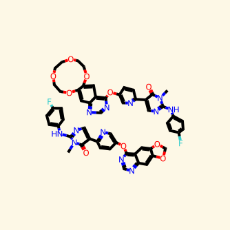 Cn1c(Nc2ccc(F)cc2)ncc(-c2ccc(Oc3ncnc4cc5c(cc34)OCCOCCOCCO5)cn2)c1=O.Cn1c(Nc2ccc(F)cc2)ncc(-c2ccc(Oc3ncnc4cc5c(cc34)OCO5)cn2)c1=O